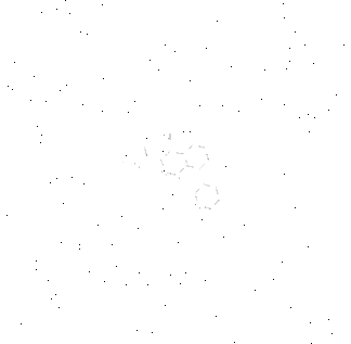 COc1ccncc1-c1cccc2c(N)c(C(=O)NC3CC3)nnc12